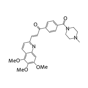 COc1cc2nc(C=CC(=O)c3ccc(C(=O)N4CCN(C)CC4)cc3)ccc2c(OC)c1OC